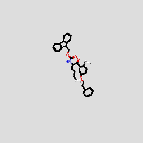 CCCCC(NC(=O)OCC1c2ccccc2-c2ccccc21)C(=O)c1cc(OCCc2ccccc2)ccc1C